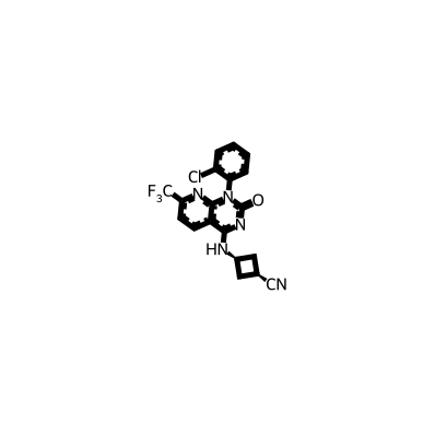 N#C[C@H]1C[C@@H](Nc2nc(=O)n(-c3ccccc3Cl)c3nc(C(F)(F)F)ccc23)C1